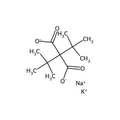 CC(C)(C)C(C(=O)[O-])(C(=O)[O-])C(C)(C)C.[K+].[Na+]